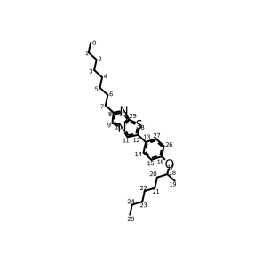 CCCCCCCCc1cn2cc(-c3ccc(OC(C)CCCCCC)cc3)sc2n1